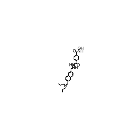 CCCN(CCC)Cc1ccc2cc(CNNC(=O)c3ccc(C(=O)NO)cc3)ccc2c1